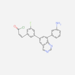 Nc1cccc(-c2cc(-c3cc(F)cc(/C=C\C(=O)Cl)c3)cc3cncnc23)c1